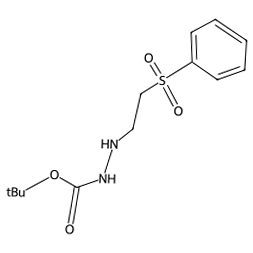 CC(C)(C)OC(=O)NNCCS(=O)(=O)c1ccccc1